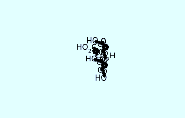 O=C(O)c1ccc(C(=O)O)cc1.O=C(OCCO)c1cccc(C(=O)OCCO)c1.O=C(OCCO)c1cccc(C(=O)OCCO)c1